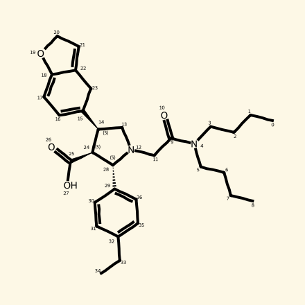 CCCCN(CCCC)C(=O)CN1C[C@H](C2=CC=C3OCC=C3C2)[C@H](C(=O)O)[C@H]1c1ccc(CC)cc1